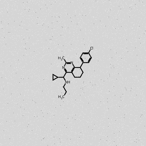 CCCNC(c1nc(C)nc2c1CCCC2c1ccc(Cl)cc1)C1CC1